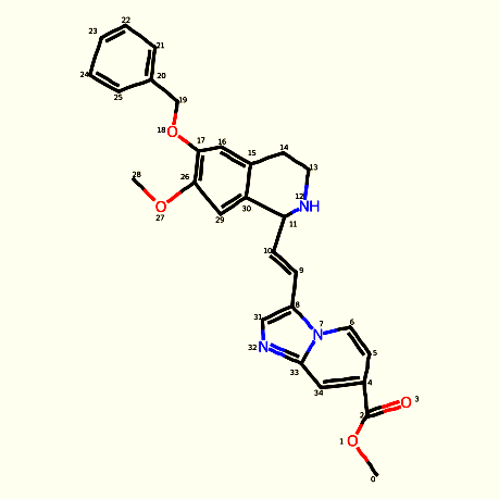 COC(=O)c1ccn2c(/C=C/C3NCCc4cc(OCc5ccccc5)c(OC)cc43)cnc2c1